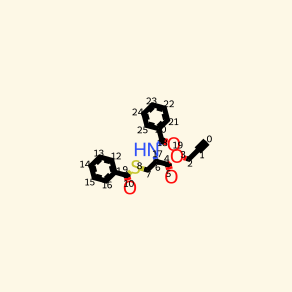 C#CCOC(=O)C(CSC(=O)c1ccccc1)NC(=O)c1ccccc1